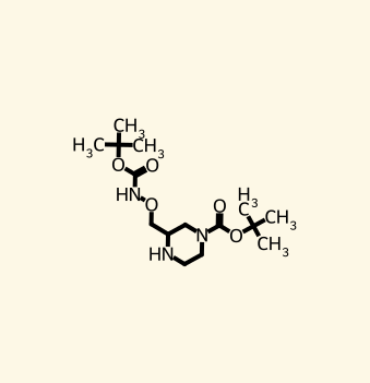 CC(C)(C)OC(=O)NOCC1CN(C(=O)OC(C)(C)C)CCN1